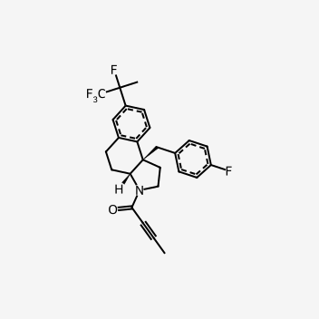 CC#CC(=O)N1CC[C@@]2(Cc3ccc(F)cc3)c3ccc(C(C)(F)C(F)(F)F)cc3CC[C@@H]12